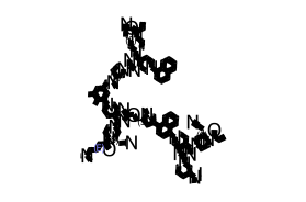 C=CC(=O)N1CCN(c2nc(N3CCCC(N(C)I)C3)nc3c2CCN(c2ccc(C4C[C@@H](COc5nc6c(c(N7CCN(C(=O)/C=C/CN(C)C)[C@@H](CC#N)C7)n5)CCN(c5cc(CN(C)[C@H]7CCN(c8nc9c(c(N%10CCN(C(=O)C=C)[C@@H](CC#N)C%10)n8)CCN(c8cccc%10ccccc8%10)C9)C7)cc(C)c5C)C6)N(C)C4)c4ccccc24)C3)C[C@@H]1CC#N